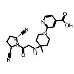 CC1(NCC(=O)N2C(C#N)CC[C@@H]2C#N)CCN(c2cc(C(=O)O)ccn2)CC1